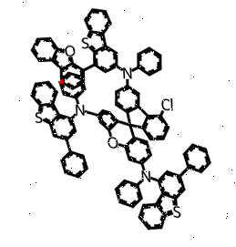 Clc1cccc2c1-c1cc(N(c3ccccc3)c3cc(-c4cccc5c4oc4ccccc45)c4sc5ccccc5c4c3)ccc1C21c2ccc(N(c3ccccc3)c3cc(-c4ccccc4)cc4sc5ccccc5c34)cc2Oc2cc(N(c3ccccc3)c3cc(-c4ccccc4)cc4sc5ccccc5c34)ccc21